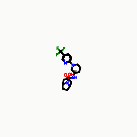 O=C(N[C@H]1CCCN(c2ccc(C(F)(F)F)cn2)C1)N1C2CCC1CC(O)C2